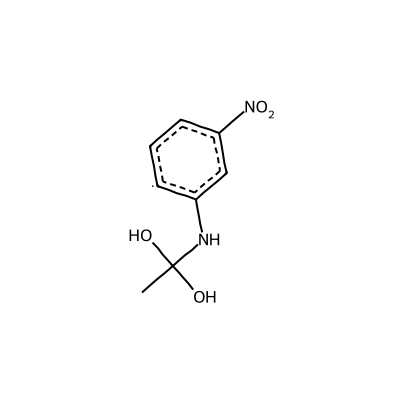 CC(O)(O)Nc1[c]ccc([N+](=O)[O-])c1